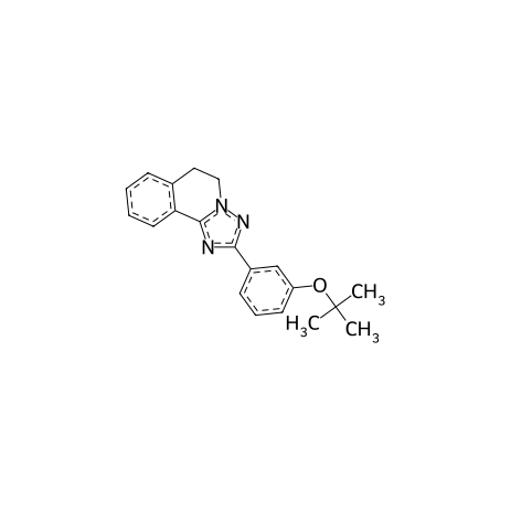 CC(C)(C)Oc1cccc(-c2nc3n(n2)CCc2ccccc2-3)c1